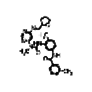 Cc1ccc(NC(=O)c2cccc(C(F)(F)F)c2)cc1NC(=O)N(C)c1cc(N=CC2CCCO2)ncn1